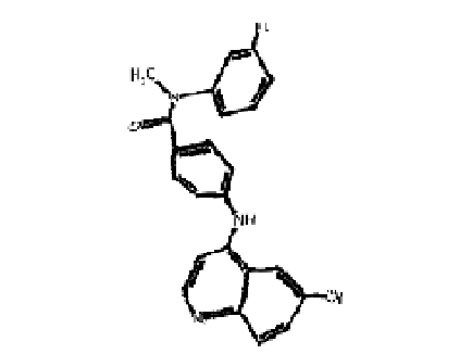 CCc1cccc(N(C)C(=O)c2ccc(Nc3ccnc4ccc(C#N)cc34)cc2)c1